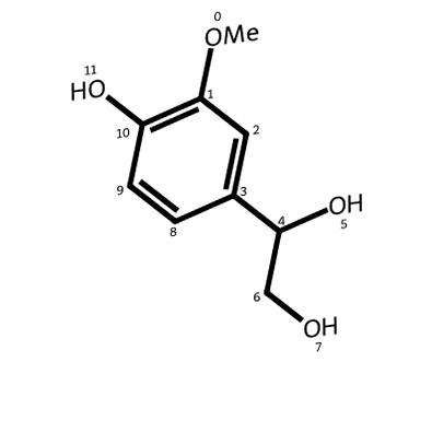 COc1cc(C(O)CO)ccc1O